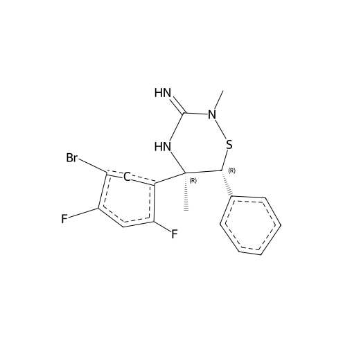 CN1S[C@H](c2ccccc2)[C@@](C)(c2cc(Br)c(F)cc2F)NC1=N